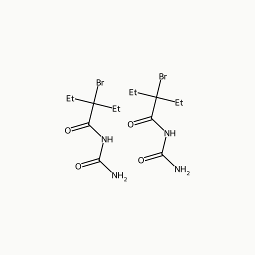 CCC(Br)(CC)C(=O)NC(N)=O.CCC(Br)(CC)C(=O)NC(N)=O